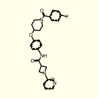 O=C(Nc1ccc(OC2CCN(C(=O)c3ccc(F)cc3)CC2)cc1)C1CN(c2cccnn2)C1